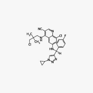 [2H]C(Nc1cc(Cl)c2ncc(C#N)c(NCC(C)(C)CCl)c2c1)(c1ccc(F)cc1)c1cn(C2CC2)nn1